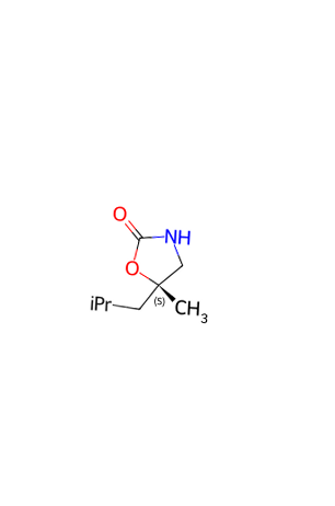 CC(C)C[C@@]1(C)CNC(=O)O1